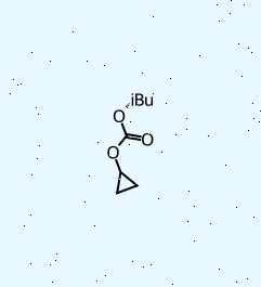 C[CH][C@@H](C)OC(=O)OC1CC1